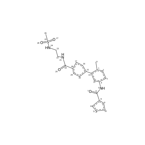 Cc1ccc(NC(=O)c2ccsc2)cc1-c1ccc(C(=O)NCCNS(C)(=O)=O)cc1